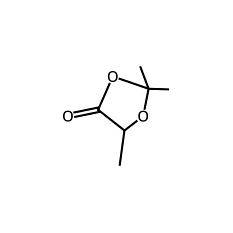 CC1OC(C)(C)OC1=O